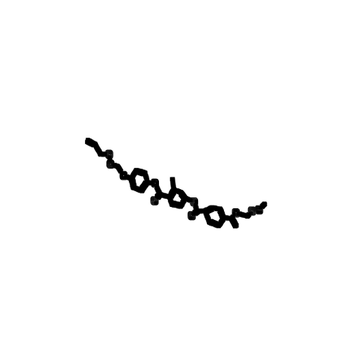 C=CCOOCOc1ccc(OC(=O)c2ccc(OC(=O)c3ccc(C(=C)OCOOC)cc3)cc2C)cc1